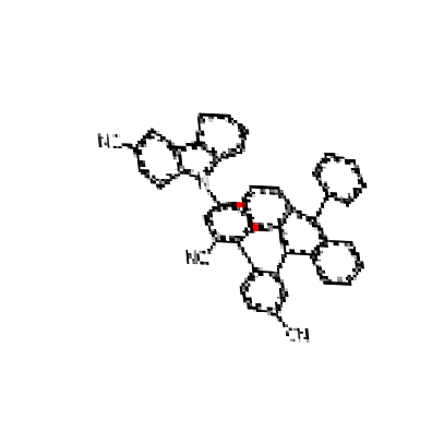 N#Cc1ccc(-c2ccc(-n3c4ccccc4c4cc(C#N)ccc43)cc2C#N)c(-c2c3ccccc3c(-c3ccccc3)c3ccccc23)c1